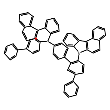 c1ccc(-c2ccc(N(c3ccc(-c4cc(-c5ccccc5)ccc4-n4c5ccccc5c5c6ccccc6ccc54)cc3)c3ccccc3-c3cccc4ccccc34)cc2)cc1